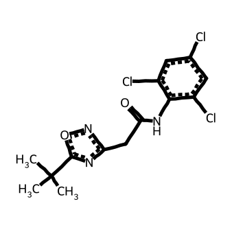 CC(C)(C)c1nc(CC(=O)Nc2c(Cl)cc(Cl)cc2Cl)no1